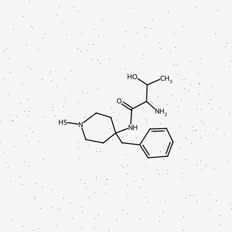 CC(O)C(N)C(=O)NC1(Cc2ccccc2)CCN(S)CC1